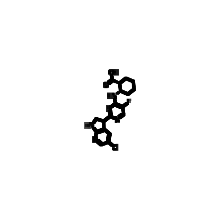 O=C(O)[C@H]1CCCC[C@@H]1Nc1nc(C2CNc3ncc(Cl)cc32)ncc1F